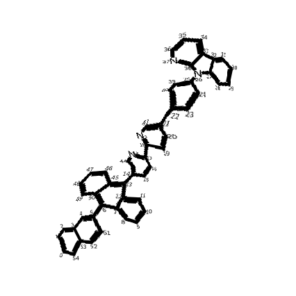 c1ccc2cc(-c3c4ccccc4c(-c4ccc(-c5ccc(-c6ccc(-n7c8ccccc8c8cccnc87)cc6)cn5)nc4)c4ccccc34)ccc2c1